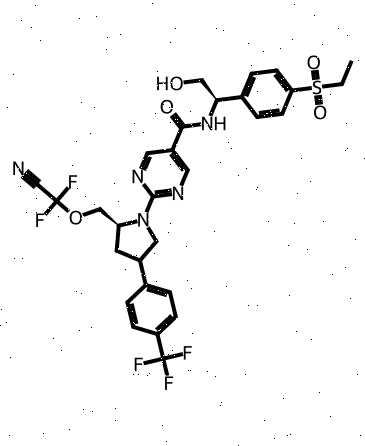 CCS(=O)(=O)c1ccc([C@H](CO)NC(=O)c2cnc(N3CC(c4ccc(C(F)(F)F)cc4)C[C@H]3COC(F)(F)C#N)nc2)cc1